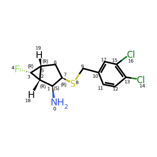 N[C@H]1[C@@H]2[C@H](F)[C@@H]2C[C@H]1SCc1ccc(Cl)c(Cl)c1